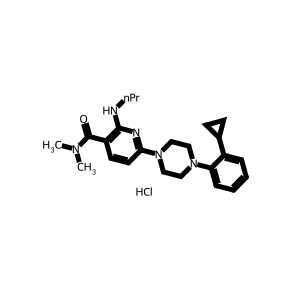 CCCNc1nc(N2CCN(c3ccccc3C3CC3)CC2)ccc1C(=O)N(C)C.Cl